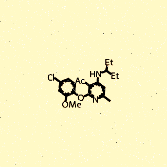 CCC(CC)Nc1cc(C)nc(Oc2ccc(Cl)cc2OC)c1C(C)=O